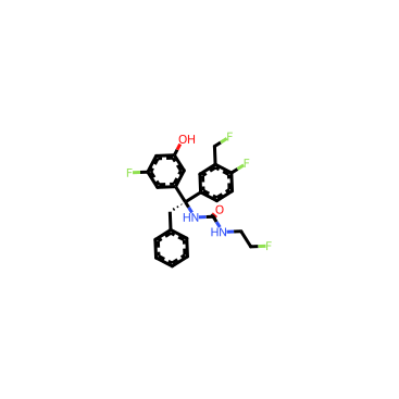 O=C(NCCF)N[C@@](Cc1ccccc1)(c1cc(O)cc(F)c1)c1ccc(F)c(CF)c1